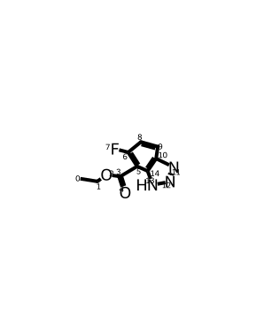 CCOC(=O)c1c(F)ccc2nn[nH]c12